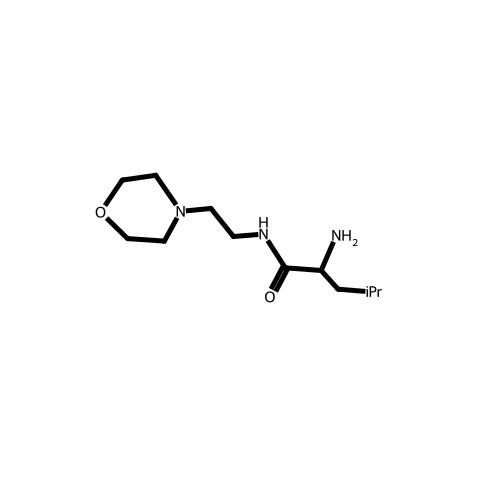 CC(C)CC(N)C(=O)NCCN1CCOCC1